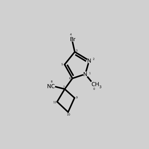 Cn1nc(Br)cc1C1(C#N)CCC1